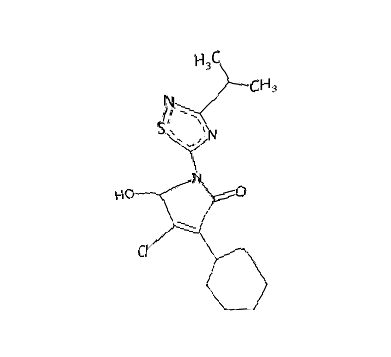 CC(C)c1nsc(N2C(=O)C(C3CCCCC3)=C(Cl)C2O)n1